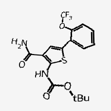 CC(C)(C)OC(=O)Nc1sc(-c2ccccc2OC(F)(F)F)cc1C(N)=O